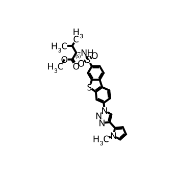 COC(=O)[C@@H](NS(=O)(=O)c1ccc2c(c1)sc1cc(-n3cc(-c4cccn4C)nn3)ccc12)C(C)C